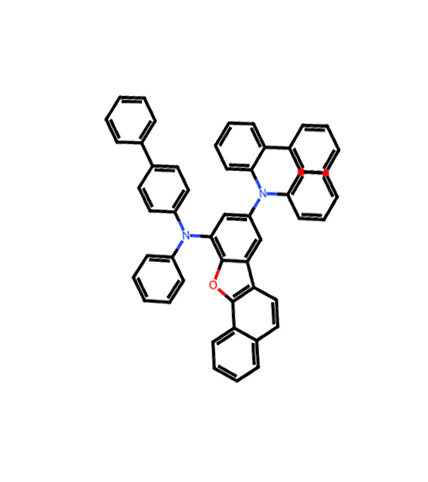 c1ccc(-c2ccc(N(c3ccccc3)c3cc(N(c4ccccc4)c4ccccc4-c4ccccc4)cc4c3oc3c5ccccc5ccc43)cc2)cc1